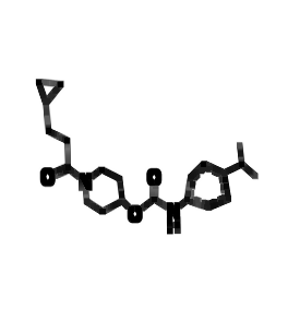 CC(C)c1ccc(NC(=O)OC2CCN(C(=O)CCC3CC3)CC2)cc1